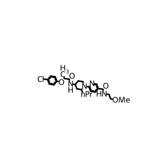 CCCC1CC(NC(=O)C(C)Oc2ccc(Cl)cc2)CCN1c1ccc(C(=O)NCCOC)cn1